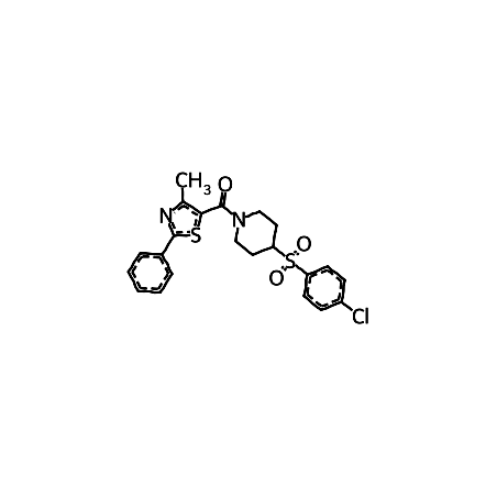 Cc1nc(-c2ccccc2)sc1C(=O)N1CCC(S(=O)(=O)c2ccc(Cl)cc2)CC1